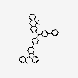 CC1C=CC=CC1n1c2c(c3ccccc31)CC(c1ccc(N(c3ccc(-c4ccccc4)cc3)c3ccc4c(c3)C(C)(C)c3ccccc3C4)cc1)C=C2